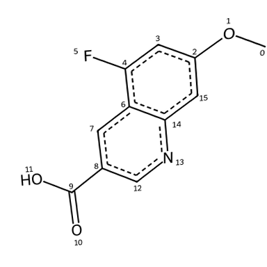 COc1cc(F)c2cc(C(=O)O)cnc2c1